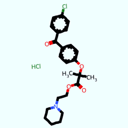 CC(C)(Oc1ccc(C(=O)c2ccc(Cl)cc2)cc1)C(=O)OCCN1CCCCC1.Cl